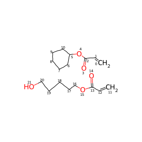 C=CC(=O)OC1CCCCC1.C=CC(=O)OCCCCCO